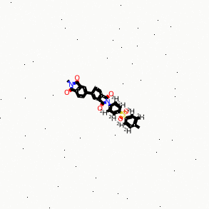 [2H]c1c([2H])c(S(=O)(=O)c2c([2H])c([2H])c(N3C(=O)c4ccc(-c5ccc6c(c5)C(=O)N(C)C6=O)cc4C3=O)c([2H])c2[2H])c([2H])c([2H])c1C